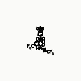 CS(=O)(=O)c1ccc(S(=O)(=O)Nc2ccc(C(F)(F)F)cc2C(=O)NC23CC(C(F)(F)F)(C2)C3)cc1